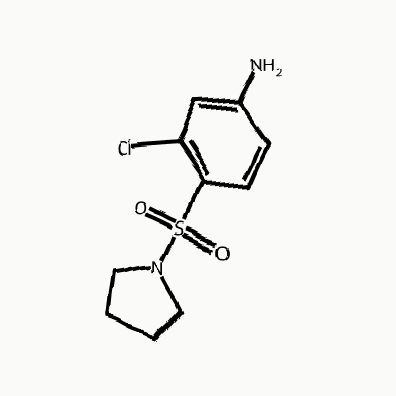 Nc1ccc(S(=O)(=O)N2CCCC2)c(Cl)c1